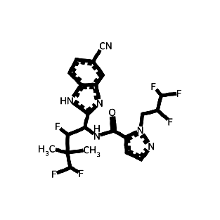 CC(C)(C(F)F)C(F)C(NC(=O)c1ccnn1CC(F)C(F)F)c1nc2cc(C#N)ccc2[nH]1